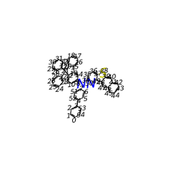 c1ccc(-c2ccc(N(c3ccc4c(c3)-c3ccccc3C43c4ccccc4-c4ccccc43)c3ccc4sc5cc6ccccc6cc5c4n3)cc2)cc1